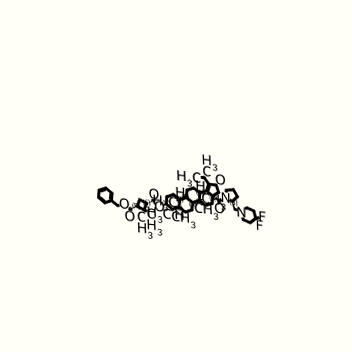 CC(C)C1=C2[C@H]3CC[C@@H]4[C@@]5(C)CC[C@H](OC(=O)[C@H]6C[C@@H](C(=O)OCc7ccccc7)C6(C)C)C(C)(C)[C@@H]5CC[C@@]4(C)[C@]3(C)CC[C@@]2(C(=O)N2CCC[C@H]2CN2CCC(F)(F)CC2)CC1=O